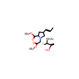 C=C(O)C(C[C@H](C(=O)OC(C)(C)C)N1CC(C=CC)CC1C(=O)OC(C)(C)C)NC(C)=O